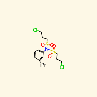 CC(C)c1cccc(N(S(=O)(=O)CCCCl)S(=O)(=O)CCCCl)c1